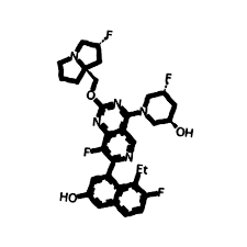 CCc1c(F)ccc2cc(O)cc(-c3ncc4c(N5C[C@H](O)C[C@@H](F)C5)nc(OC[C@@]56CCCN5C[C@H](F)C6)nc4c3F)c12